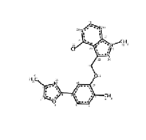 Cc1noc(-c2ccc(C)c(OCc3nn(C)c4ncnc(Cl)c34)c2)n1